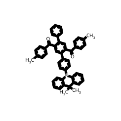 Cc1ccc(C(=O)c2cc(-c3ccc(N4c5ccccc5C(C)(C)c5ccccc54)cc3)c(C(=O)c3ccc(C)cc3)cc2-c2ccccc2)cc1